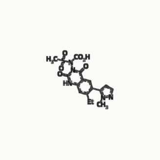 CCc1cc2[nH]c(=O)n(N(C(=O)O)S(C)(=O)=O)c(=O)c2cc1-c1ccnn1C